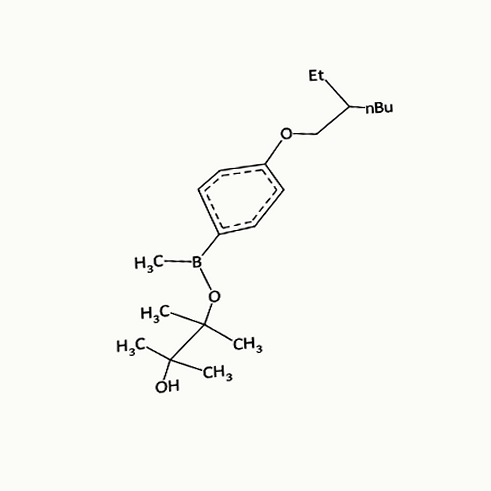 CCCCC(CC)COc1ccc(B(C)OC(C)(C)C(C)(C)O)cc1